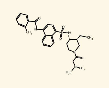 CC[C@H]1CN(C(=O)CN(C)C)CC[C@@H]1NS(=O)(=O)c1ccc(NC(=O)c2ccccc2C)c2ccccc12